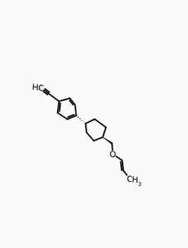 C#Cc1ccc([C@H]2CC[C@H](COC=CC)CC2)cc1